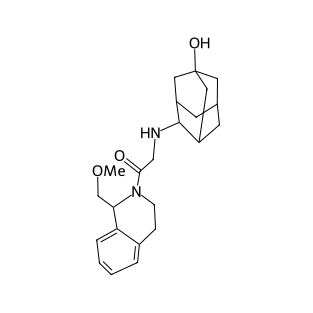 COCC1c2ccccc2CCN1C(=O)CNC1C2CC3CC1CC(O)(C3)C2